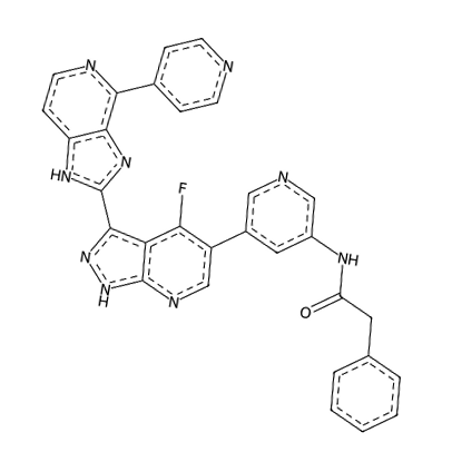 O=C(Cc1ccccc1)Nc1cncc(-c2cnc3[nH]nc(-c4nc5c(-c6ccncc6)nccc5[nH]4)c3c2F)c1